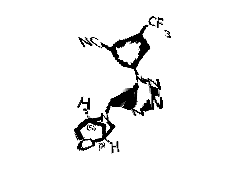 N#Cc1cc(-n2nnnc2CN2C[C@@H]3C[C@H]2CO3)cc(C(F)(F)F)c1